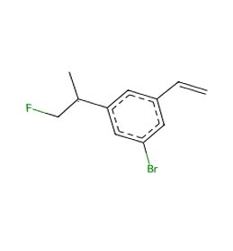 C=Cc1cc(Br)cc([C](C)CF)c1